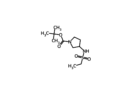 CCS(=O)(=O)NC1CCN(C(=O)OC(C)(C)C)C1